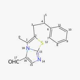 Cc1c(CC(C)c2ccccc2)sc2ncc(C=O)n12